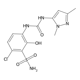 Cc1cc(NC(=O)Nc2ccc(Cl)c(S(N)(=O)=O)c2O)n(C)n1